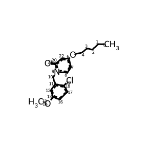 CCCCCOc1ccn(Cc2cc(OC)ccc2Cl)c(=O)c1